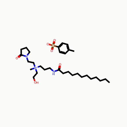 CCCCCCCCCCCC(=O)NCCC[N+](C)(CCO)CCN1CCCC1=O.Cc1ccc(S(=O)(=O)[O-])cc1